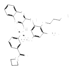 COc1cc(Nc2nc3ccccc3nc2NS(=O)(=O)c2cccc(C(=O)N3CCC3)c2)c(OCCCO)c(OC)c1